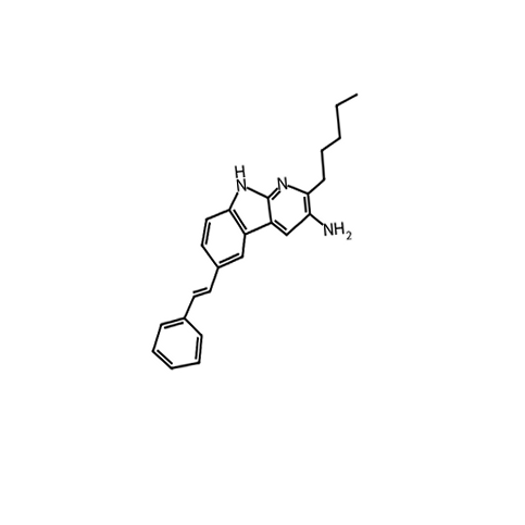 CCCCCc1nc2[nH]c3ccc(C=Cc4ccccc4)cc3c2cc1N